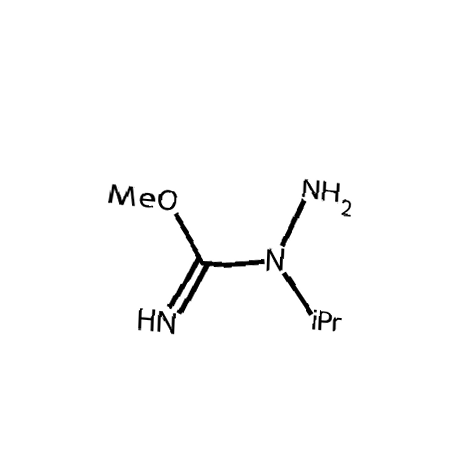 COC(=N)N(N)C(C)C